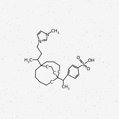 CC(CC[n+]1ccn(C)c1)C12CCCCCC(C(C)c3ccc(S(=O)(=O)O)cc3)(CCCC1)CCC2